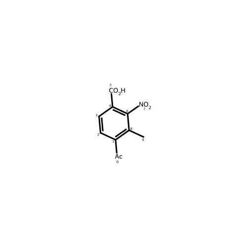 CC(=O)c1ccc(C(=O)O)c([N+](=O)[O-])c1C